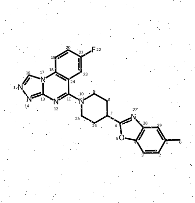 Cc1ccc2oc(C3CCN(c4nc5nncn5c5ccc(F)cc45)CC3)nc2c1